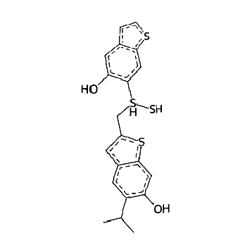 CC(C)c1cc2cc(C[SH](S)c3cc4sccc4cc3O)sc2cc1O